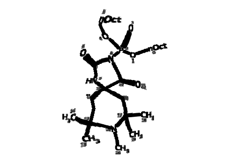 CCCCCCCCOP(=O)(OCCCCCCCC)N1C(=O)NC2(CC(C)(C)N(C)C(C)(C)C2)C1=O